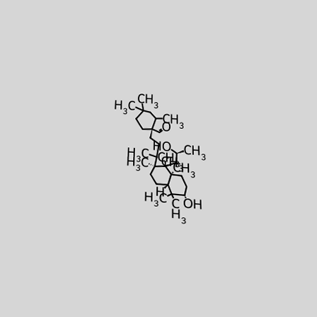 CC1CC(C)(C)CC[C@]1(C=O)CCC(C)(C)[C@]1(C)CC[C@H]2C(C)(C)[C@@H](O)CC[C@]2(C)[C@@]1(C)C[C@H](C)O